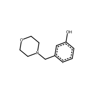 Oc1cc[c]c(CN2CCOCC2)c1